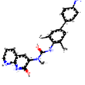 CCCCN(C(=O)Nc1c(C(C)C)cc(-c2ccc(N)cc2)cc1C(C)C)c1cc2cccnc2[nH]c1=O